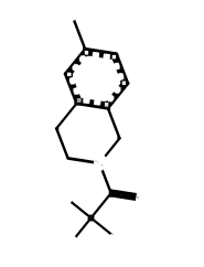 Cc1ccc2c(c1)CCN(C(=O)C(F)(F)F)C2